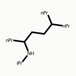 CCCC(CCC)CCC(CCC)NC(C)C